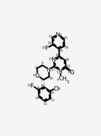 Cn1c(N2CCO[C@@H](c3c(F)cccc3Cl)C2)nc(-c2ccncc2F)cc1=O